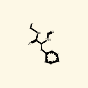 CCNC(=O)[C@H](Cc1ccccc1)NC=O